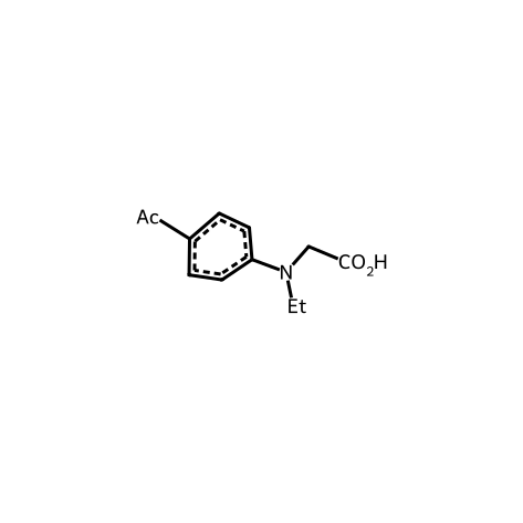 CCN(CC(=O)O)c1ccc(C(C)=O)cc1